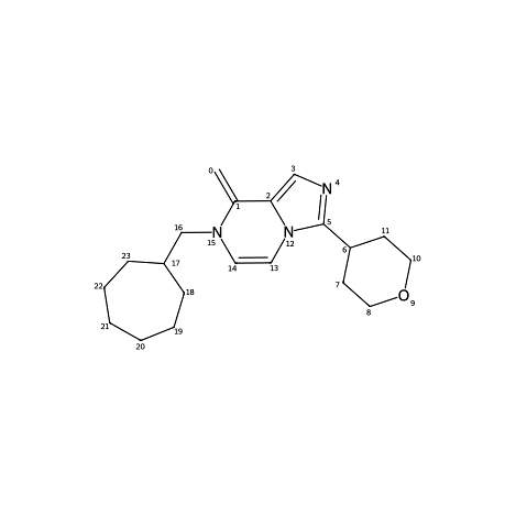 C=C1c2cnc(C3CCOCC3)n2C=CN1CC1CCCCCC1